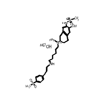 CCCN(CCCCCCNCCc1ccc(S(C)(=O)=O)cc1)[C@@H]1CCc2cc(O)c(NS(C)(=O)=O)cc2C1.Cl.Cl